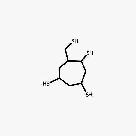 SCC1CC(S)CC(S)CC1S